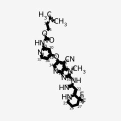 CN(C)CCOC(=O)Nc1cc(Oc2cnc3nc(NC(=N)/C=C4\NCCCC4(F)F)n(C)c3c2C#N)ccn1